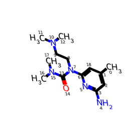 Cc1cc(N)nc(N(CCN(C)C)C(=O)N(C)C)c1